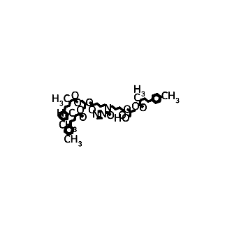 Cc1ccc(CCC(C)C(=O)OCC(CO)OC(=O)CCCN(CCCC(=O)OC(COC(=O)C(C)CCc2ccc(C)cc2)COC(=O)C(C)CCc2ccc(C)cc2)C(=O)n2ccnc2)cc1